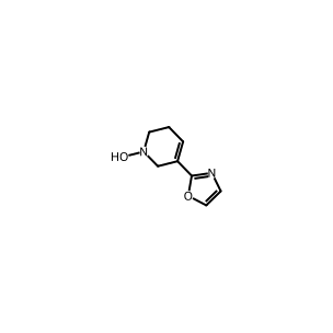 ON1CCC=C(c2ncco2)C1